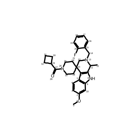 COc1ccc2c3c([nH]c2c1)C(C)N(Cc1ccccc1F)CC31CCN(C(=O)C2CCC2)CC1